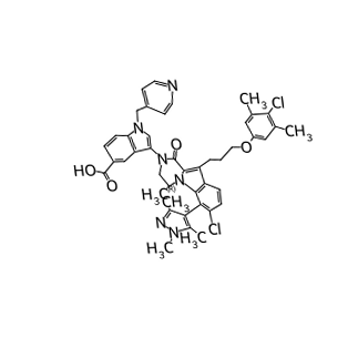 Cc1cc(OCCCc2c3n(c4c(-c5c(C)nn(C)c5C)c(Cl)ccc24)[C@H](C)CN(c2cn(Cc4ccncc4)c4ccc(C(=O)O)cc24)C3=O)cc(C)c1Cl